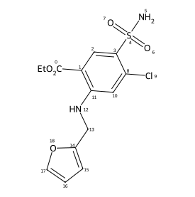 C[CH]OC(=O)c1cc(S(N)(=O)=O)c(Cl)cc1NCc1ccco1